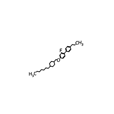 CCCCCCCC1CCC(COc2ccc(-c3ccc(CCC)cc3)c(F)c2)CC1